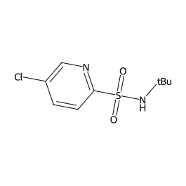 CC(C)(C)NS(=O)(=O)c1ccc(Cl)cn1